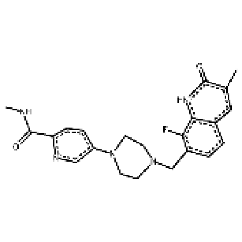 CNC(=O)c1ccc(N2CCN(Cc3ccc4cc(C)c(=O)[nH]c4c3F)CC2)cn1